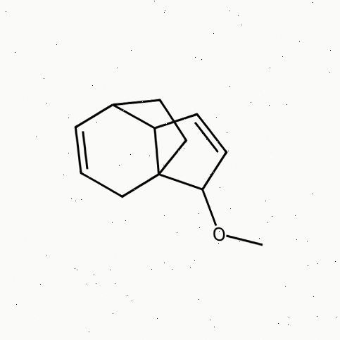 COC1C=CC2C3C=CCC12CC3